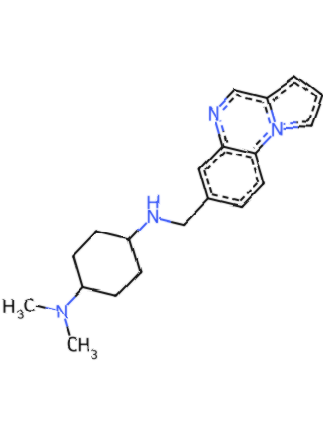 CN(C)C1CCC(NCc2ccc3c(c2)ncc2cccn23)CC1